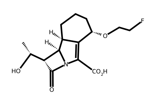 C[C@@H](O)[C@H]1C(=O)N2C(C(=O)O)=C3[C@@H](OCCF)CCC[C@@H]3[C@H]12